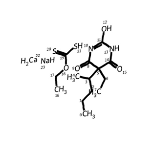 CCCC(C)C1(CC)C(=O)N=C(O)NC1=O.CCOC(=S)S.[CaH2].[NaH]